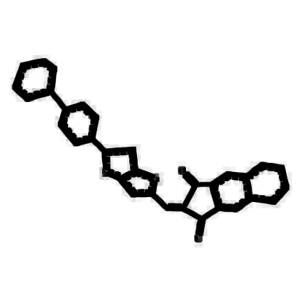 O=C1C(=Cc2cc3sc(-c4ccc(-c5ccccc5)cc4)cc3s2)C(=O)c2cc3ccccc3cc21